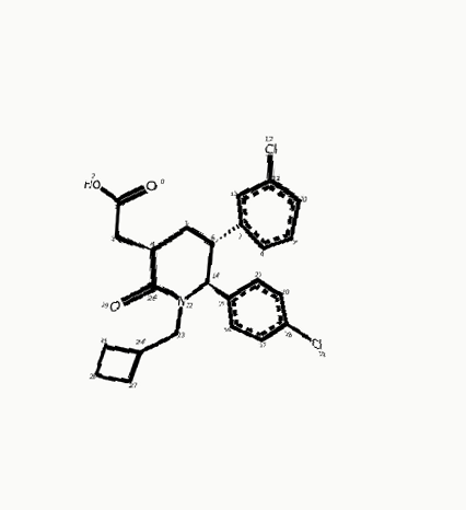 O=C(O)C[C@H]1C[C@H](c2cccc(Cl)c2)[C@@H](c2ccc(Cl)cc2)N(CC2CCC2)C1=O